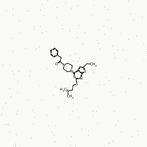 CCc1cc2c(N3CCN(C(=O)Cc4ccccc4)CC3)nc(SCCN(C)C)nc2s1